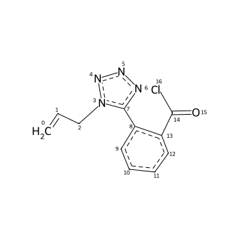 C=CCn1nnnc1-c1ccccc1C(=O)Cl